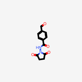 O=Cc1ccc(C(=O)NN2C(=O)CCC2=O)cc1